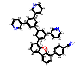 N#Cc1ccc(-c2cccc3c2oc2c(-c4cc(-c5cccnc5)cc(-c5cc(-c6cccnc6)cc(-c6cccnc6)c5)c4)cccc23)cc1